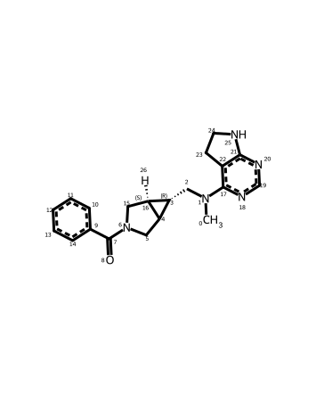 CN(C[C@@H]1C2CN(C(=O)c3ccccc3)C[C@H]21)c1ncnc2c1CCN2